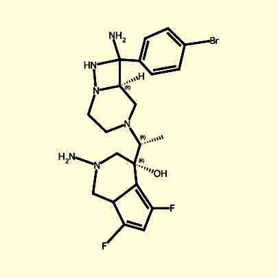 C[C@@H](N1CCN2NC(N)(c3ccc(Br)cc3)[C@H]2C1)[C@]1(O)CN(N)CC2C(F)=CC(F)=C21